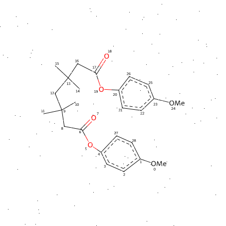 COc1ccc(OC(=O)CC(C)(C)CC(C)(C)CC(=O)Oc2ccc(OC)cc2)cc1